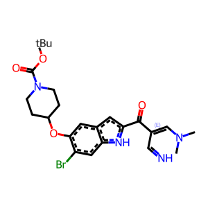 CN(C)/C=C(\C=N)C(=O)c1cc2cc(OC3CCN(C(=O)OC(C)(C)C)CC3)c(Br)cc2[nH]1